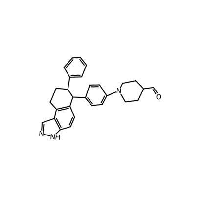 O=CC1CCN(c2ccc(C3c4ccc5[nH]ncc5c4CCC3c3ccccc3)cc2)CC1